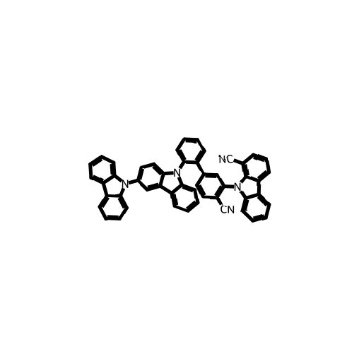 N#Cc1ccc(-c2ccccc2-n2c3ccccc3c3cc(-n4c5ccccc5c5ccccc54)ccc32)cc1-n1c2ccccc2c2cccc(C#N)c21